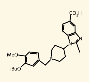 COc1ccc(CN2CCC(n3c(C)nc4cc(C(=O)O)ccc43)CC2)cc1OCC(C)C